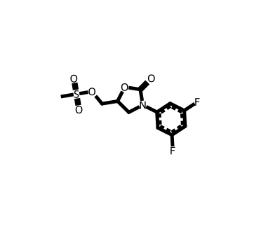 CS(=O)(=O)OCC1CN(c2cc(F)cc(F)c2)C(=O)O1